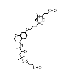 CN(OC(=O)CCCOc1ccc2c(c1)OCC/C2=N\NC(=O)CC(C)(C)SSCCC=O)C(=O)CCC=O